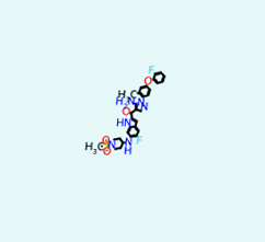 Cc1cc(Oc2ccccc2F)ccc1-n1ncc(C(=O)c2cc3cc(F)c(NC4CCN(S(C)(=O)=O)CC4)cc3[nH]2)c1N